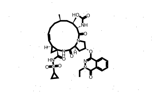 CCn1nc(O[C@@H]2C[C@H]3C(=O)N[C@]4(C(=O)NS(=O)(=O)C5CC5)C[C@H]4/C=C\CC[C@@H](C)C[C@@H](C)[C@H](NC(=O)O)C(=O)N3C2)c2ccccc2c1=O